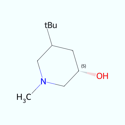 CN1CC(C(C)(C)C)C[C@H](O)C1